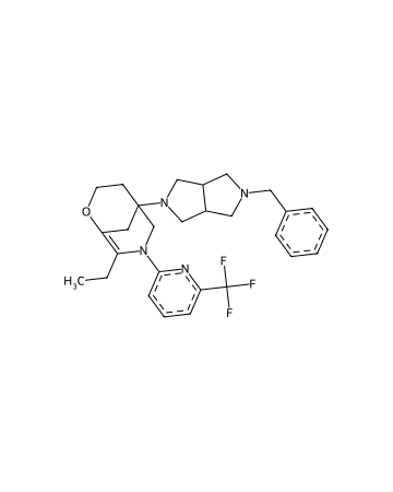 CCC1=C2CC(N3CC4CN(Cc5ccccc5)CC4C3)(CCO2)CN1c1cccc(C(F)(F)F)n1